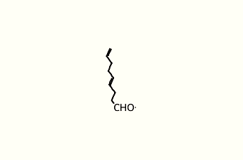 C=CCCC=CCC[C]=O